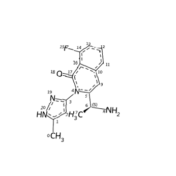 Cc1cc(-n2c([C@H](C)N)cc3cccc(F)c3c2=O)n[nH]1